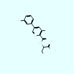 CCC(NC(=O)c1ncc(-c2cccc(F)c2)cc1O)C(=O)O